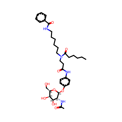 CCCCCC(=O)N(CCCCCCNC(=O)c1ccccc1)CCC(=O)Nc1ccc(O[C@@H]2O[C@H](CO)[C@H](O)[C@H](O)[C@H]2NC(C)=O)cc1